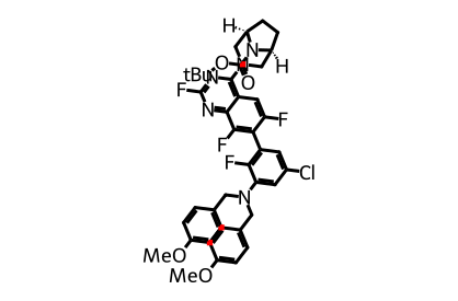 COc1ccc(CN(Cc2ccc(OC)cc2)c2cc(Cl)cc(-c3c(F)cc4c(N5C[C@H]6CC[C@@H](C5)N6C(=O)OC(C)(C)C)nc(F)nc4c3F)c2F)cc1